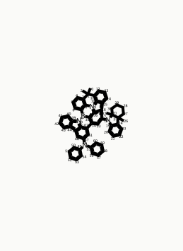 CC1(C)c2cccc3c2-n2c4c1cccc4c1c(N4c5ccccc5C5(C)CCCCC45C)cc4c(c12)B3n1c2ccccc2c2cc(N(c3ccccc3)c3ccccc3)cc-4c21